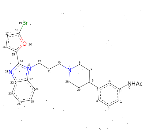 CC(=O)Nc1cccc(C2CCN(CCCn3c(-c4ccc(Br)o4)nc4ccccc43)CC2)c1